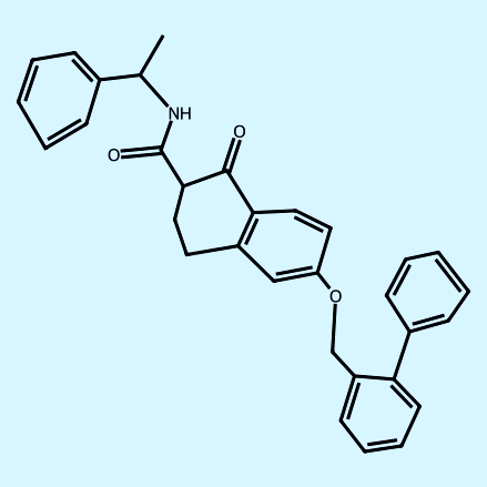 CC(NC(=O)C1CCc2cc(OCc3ccccc3-c3ccccc3)ccc2C1=O)c1ccccc1